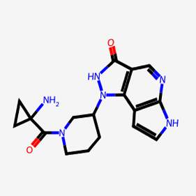 NC1(C(=O)N2CCCC(n3[nH]c(=O)c4cnc5[nH]ccc5c43)C2)CC1